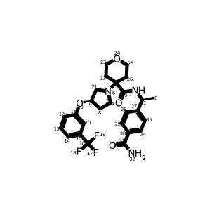 C[C@H](NC(=O)C1(N2CC[C@@H](Oc3cccc(C(F)(F)F)c3)C2)CCOCC1)c1ccc(C(N)=O)cc1